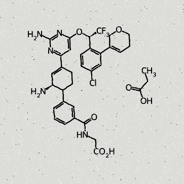 CCC(=O)O.Nc1nc(O[C@H](c2ccc(Cl)cc2C2=CCCOC2)C(F)(F)F)cc(C2=C[C@H](N)C(c3cccc(C(=O)NCC(=O)O)c3)CC2)n1